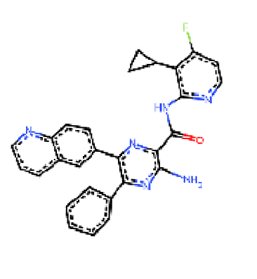 Nc1nc(-c2ccccc2)c(-c2ccc3ncccc3c2)nc1C(=O)Nc1nccc(F)c1C1CC1